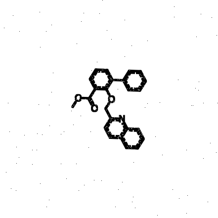 COC(=O)c1cccc(-c2ccccc2)c1OCc1ccc2ccccc2n1